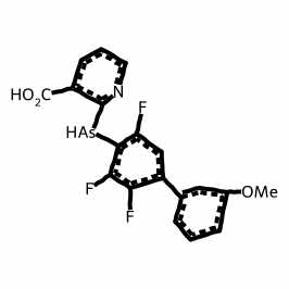 COc1cccc(-c2cc(F)c([AsH]c3ncccc3C(=O)O)c(F)c2F)c1